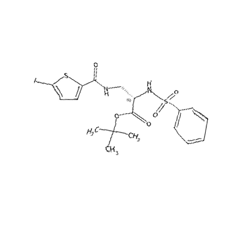 CC(C)(C)OC(=O)[C@H](CNC(=O)c1ccc(I)s1)NS(=O)(=O)c1ccccc1